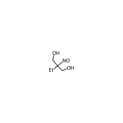 CCC(CO)(CO)N=O